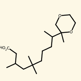 CC(CC(=O)O)CC(C)(C)CCCC(C)C1(C)COCCO1